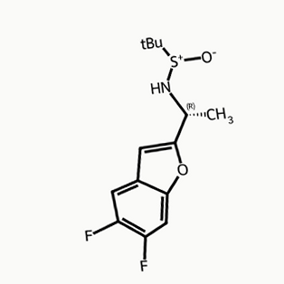 C[C@@H](N[S+]([O-])C(C)(C)C)c1cc2cc(F)c(F)cc2o1